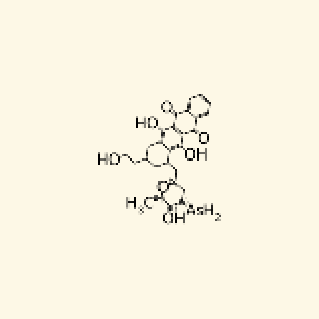 C[C@H]1O[C@@H](CC2CC(CCO)Cc3c(O)c4c(c(O)c32)C(=O)c2ccccc2C4=O)C[C@H]([AsH2])[C@H]1O